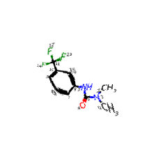 CN(C)C(=O)Nc1cccc(C(F)(F)F)c1